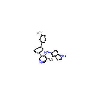 N#Cc1cccc(-c2cccc(-c3cncc(C#N)c3Nc3ccc4[nH]ccc4c3)c2)c1